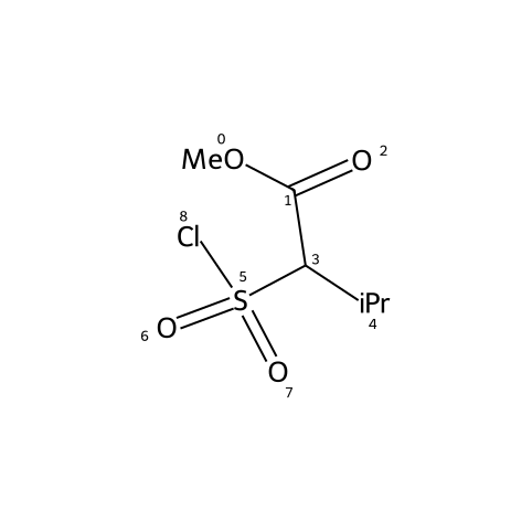 COC(=O)C(C(C)C)S(=O)(=O)Cl